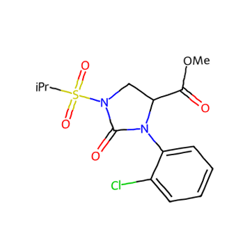 COC(=O)C1CN(S(=O)(=O)C(C)C)C(=O)N1c1ccccc1Cl